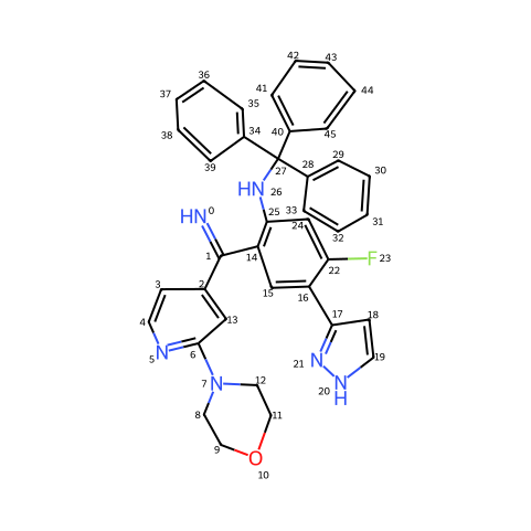 N=C(c1ccnc(N2CCOCC2)c1)c1cc(-c2cc[nH]n2)c(F)cc1NC(c1ccccc1)(c1ccccc1)c1ccccc1